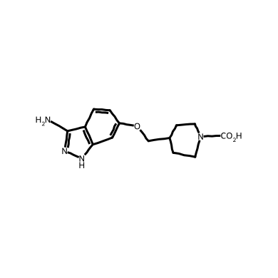 Nc1n[nH]c2cc(OCC3CCN(C(=O)O)CC3)ccc12